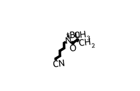 C=C(C)C(=O)N(CCCCCC#N)C(C)(C)C